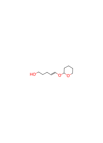 OCCCC=COC1CCCCO1